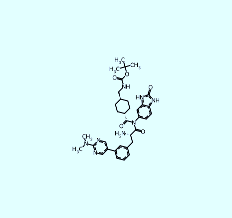 CN(C)c1ncc(-c2cccc(C[C@H](N)C(=O)N(c3ccc4[nH]c(=O)[nH]c4c3)C(=O)[C@H]3CC[C@H](CNC(=O)OC(C)(C)C)CC3)c2)cn1